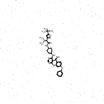 CN(C)C(C(=O)NC1CCC(Nc2ncnc(N)c2C(=N)c2ccc(Oc3ccccc3)cc2)CC1)c1cc(C(C)(C)C)on1